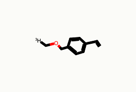 [3H]COCc1ccc(C=C)cc1